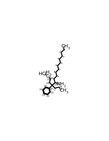 CCCCCCCCCCCC(N)C(CCC)(CCC)c1ccccc1.Cl